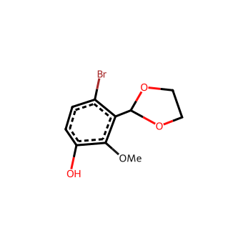 COc1c(O)ccc(Br)c1C1OCCO1